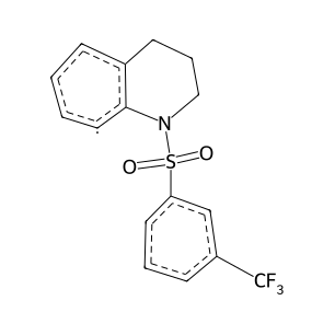 O=S(=O)(c1cccc(C(F)(F)F)c1)N1CCCc2ccc[c]c21